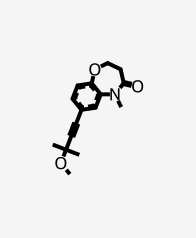 COC(C)(C)C#Cc1ccc2c(c1)N(C)C(=O)CCO2